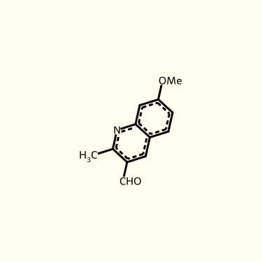 COc1ccc2cc(C=O)c(C)nc2c1